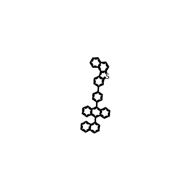 c1ccc2c(-c3c4ccccc4c(-c4ccc(-c5ccc6c(c5)sc5ccc7ccccc7c56)cc4)c4ccccc34)cccc2c1